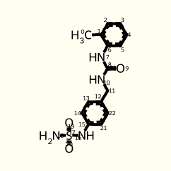 Cc1ccccc1NC(=O)NCc1ccc(NS(N)(=O)=O)cc1